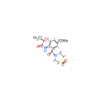 C=C1Oc2cc(OC)cc(C(=O)N3CCS(=O)(=O)CC3)c2NC1=O